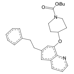 CC(C)COC(=O)N1CCC(Oc2cc(CCc3ccccc3)cc3cccnc23)CC1